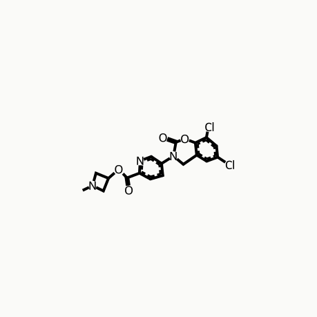 CN1CC(OC(=O)c2ccc(N3Cc4cc(Cl)cc(Cl)c4OC3=O)cn2)C1